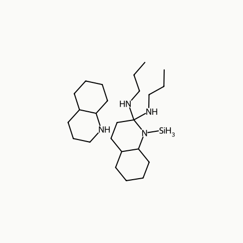 C1CCC2NCCCC2C1.CCCNC1(NCCC)CCC2CCCCC2N1[SiH3]